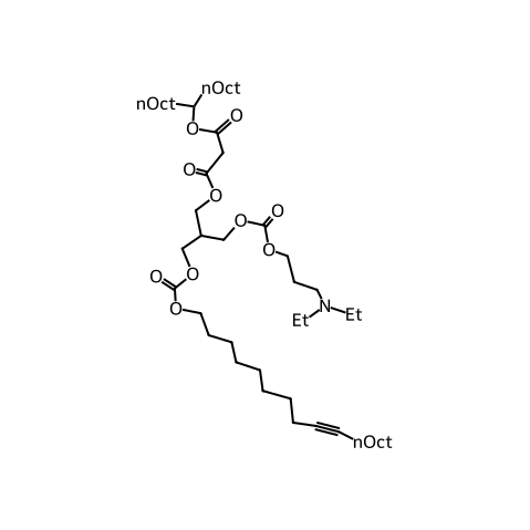 CCCCCCCCC#CCCCCCCCCOC(=O)OCC(COC(=O)CC(=O)OC(CCCCCCCC)CCCCCCCC)COC(=O)OCCCN(CC)CC